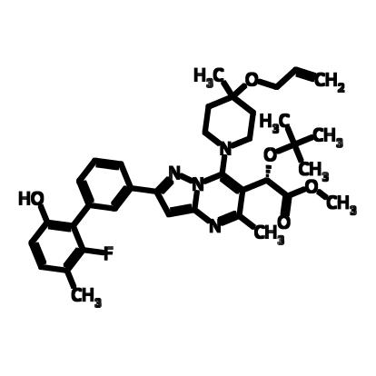 C=CCOC1(C)CCN(c2c([C@H](OC(C)(C)C)C(=O)OC)c(C)nc3cc(-c4cccc(-c5c(O)ccc(C)c5F)c4)nn23)CC1